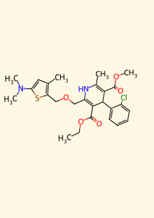 CCOC(=O)C1=C(COCc2sc(N(C)C)cc2C)NC(C)=C(C(=O)OC)C1c1ccccc1Cl